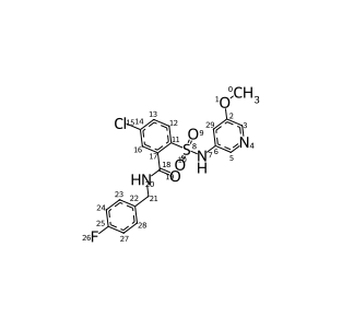 COc1cncc(NS(=O)(=O)c2ccc(Cl)cc2C(=O)NCc2ccc(F)cc2)c1